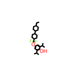 CCC1CCC(C2CCC(C(F)(F)Oc3cc(C(C)C)c(O)c(C(C)C)c3)CC2)CC1